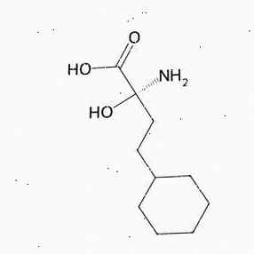 N[C@@](O)(CCC1CCCCC1)C(=O)O